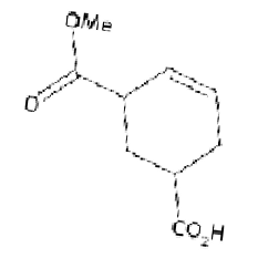 COC(=O)C1C=CCC(C(=O)O)C1